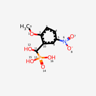 COc1ccc([N+](=O)[O-])cc1C(O)P(=O)(O)O